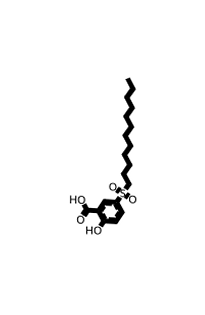 CCCCCCCCCCCCS(=O)(=O)c1ccc(O)c(C(=O)O)c1